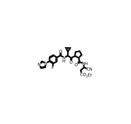 CCOC(=O)CC(C#N)NC(=O)C1CCCC1C(=O)C(NC(=O)c1ccc(-n2ccnc2)c(F)c1)C1CC1